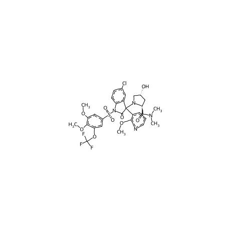 COc1cc(S(=O)(=O)N2C(=O)C(c3cccnc3OC)(N3C[C@H](O)C[C@H]3C(=O)N(C)C)c3cc(Cl)ccc32)cc(OC(F)(F)F)c1OC